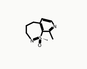 Cc1nccc2c1[S@@](C)(=O)=NCCC2